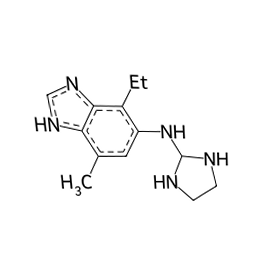 CCc1c(NC2NCCN2)cc(C)c2[nH]cnc12